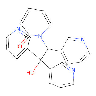 O=c1ccccn1C(c1cccnc1)C(O)(c1cccnc1)c1cccnc1